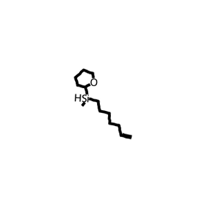 C=CCCCCC[SiH](C)C1CCCCO1